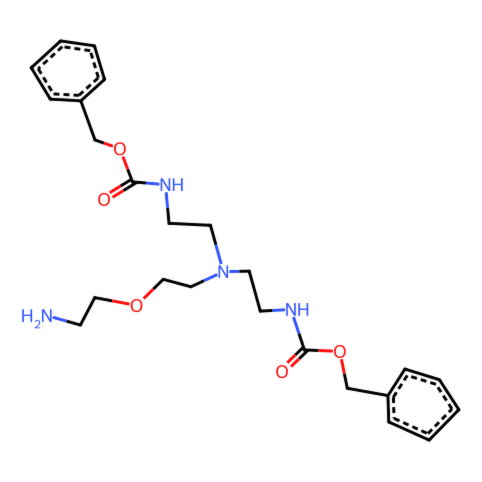 NCCOCCN(CCNC(=O)OCc1ccccc1)CCNC(=O)OCc1ccccc1